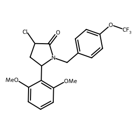 COc1cccc(OC)c1C1CC(Cl)C(=O)N1Cc1ccc(OC(F)(F)F)cc1